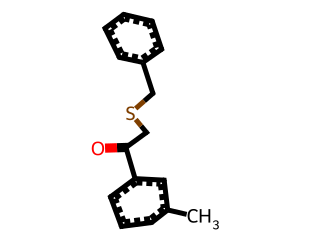 Cc1cccc(C(=O)CSCc2ccccc2)c1